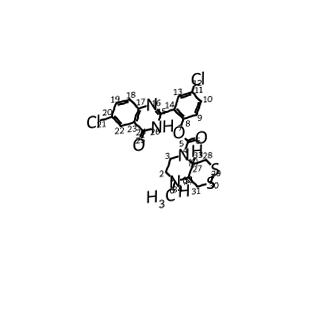 CN1CCN(C(=O)Oc2ccc(Cl)cc2-c2nc3ccc(Cl)cc3c(=O)[nH]2)[C@@H]2CSSC[C@H]21